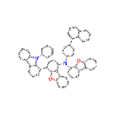 c1ccc(-n2c3ccccc3c3cccc(-c4ccc(N(c5ccc(-c6cccc7ccccc67)cc5)c5cccc6c5oc5ccccc56)c5c4oc4ccccc45)c32)cc1